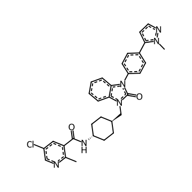 Cc1ncc(Cl)cc1C(=O)N[C@H]1CC[C@H](Cn2c(=O)n(-c3ccc(-c4ccnn4C)cc3)c3ccccc32)CC1